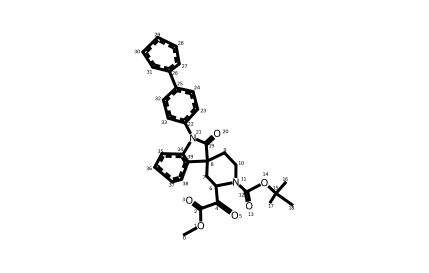 COC(=O)C(=O)C1CC2(CCN1C(=O)OC(C)(C)C)C(=O)N(c1ccc(-c3ccccc3)cc1)c1ccccc12